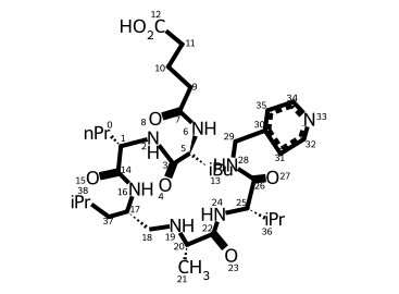 CCC[C@H](NC(=O)[C@@H](NC(=O)CCCC(=O)O)[C@@H](C)CC)C(=O)N[C@H](CN[C@@H](C)C(=O)N[C@H](C(=O)NCc1ccncc1)C(C)C)CC(C)C